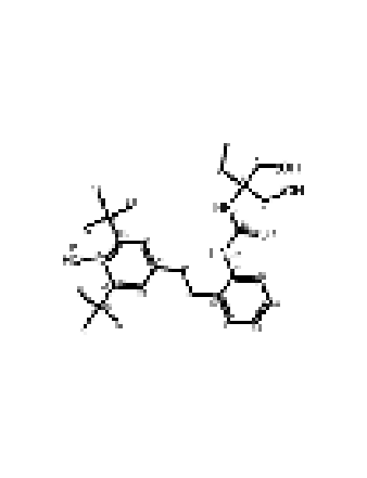 CCC(CO)(CO)NC(=O)Nc1ccccc1CCc1cc(C(C)(C)C)c(O)c(C(C)(C)C)c1